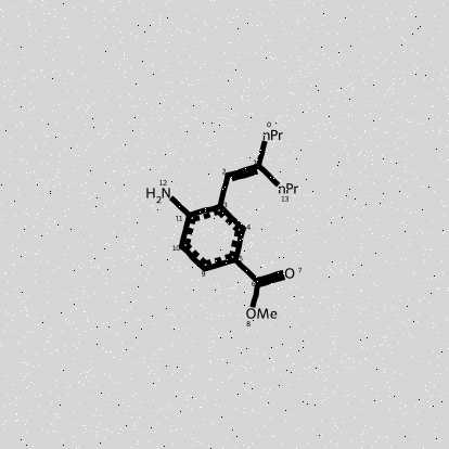 CCCC(=Cc1cc(C(=O)OC)ccc1N)CCC